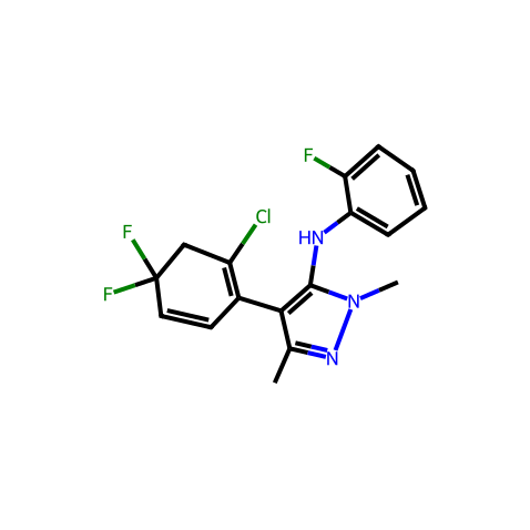 Cc1nn(C)c(Nc2ccccc2F)c1C1=C(Cl)CC(F)(F)C=C1